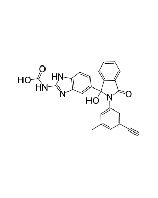 C#Cc1cc(C)cc(N2C(=O)c3ccccc3C2(O)c2ccc3[nH]c(NC(=O)O)nc3c2)c1